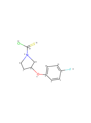 Fc1ccc(OC2CCN(C(=S)Cl)C2)cc1